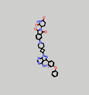 Nc1ncnc2c1c(-c1ccc(Oc3ccccc3)cc1)nn2C1CC2(CCN(c3ccc4c(c3)C(=O)N(C3CCC(=O)NC3=O)C4=O)CC2)C1